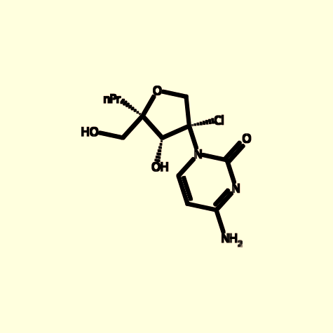 CCC[C@]1(CO)OC[C@@](Cl)(n2ccc(N)nc2=O)[C@@H]1O